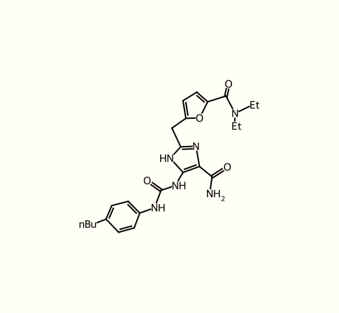 CCCCc1ccc(NC(=O)Nc2[nH]c(Cc3ccc(C(=O)N(CC)CC)o3)nc2C(N)=O)cc1